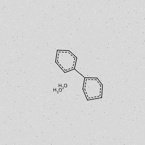 O.O.c1ccc(-c2ccccc2)cc1